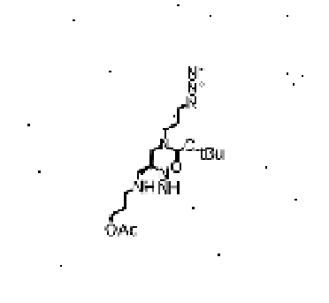 CC(=O)OCCCN/C=C(/CN(CCCN=[N+]=[N-])C(=O)OC(C)(C)C)N=N